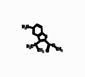 COC(=O)c1sc2ccc(C)cc2c1N(C)C